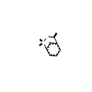 O=C1OS(=O)(=O)c2cccc1c2C(=O)O